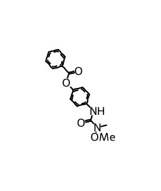 CON(C)C(=O)Nc1ccc(OC(=O)c2ccccc2)cc1